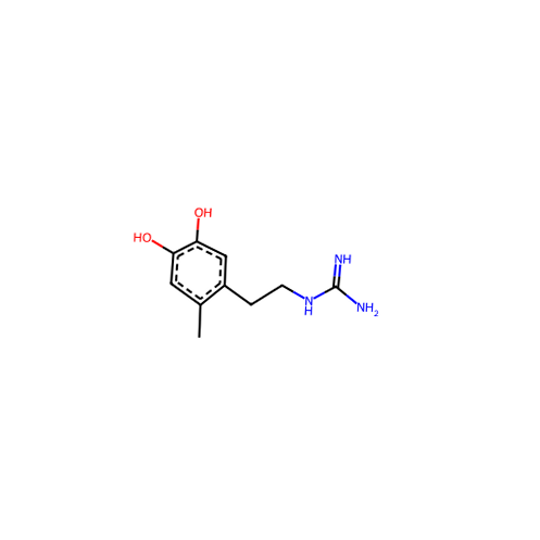 Cc1cc(O)c(O)cc1CCNC(=N)N